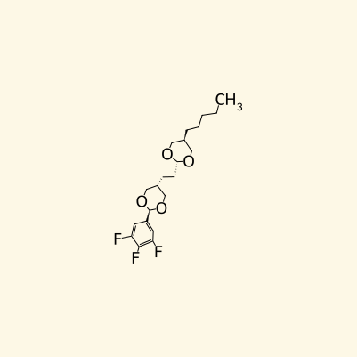 CCCCC[C@H]1CO[C@H](CC[C@H]2CO[C@H](c3cc(F)c(F)c(F)c3)OC2)OC1